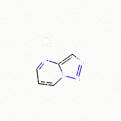 Cl.Cl.c1cnc2cnnn2c1